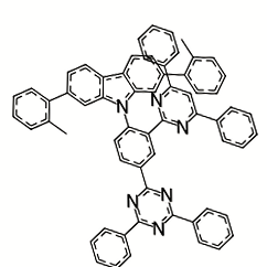 Cc1ccccc1-c1ccc2c3ccc(-c4ccccc4C)cc3n(-c3ccc(-c4nc(-c5ccccc5)nc(-c5ccccc5)n4)cc3-c3nc(-c4ccccc4)cc(-c4ccccc4)n3)c2c1